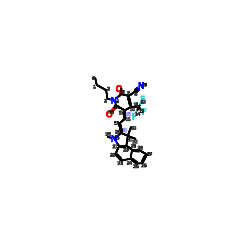 CCCCN1C(=O)C(C#N)=C(C(F)(F)F)/C(=C/C=C2/N(C)c3ccc4ccccc4c3C2(C)C)C1=O